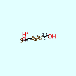 OCCCSSSSCCC[OH+][S-]